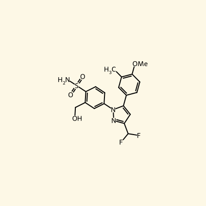 COc1ccc(-c2cc(C(F)F)nn2-c2ccc(S(N)(=O)=O)c(CO)c2)cc1C